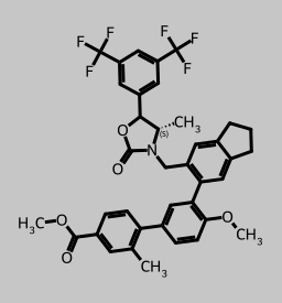 COC(=O)c1ccc(-c2ccc(OC)c(-c3cc4c(cc3CN3C(=O)OC(c5cc(C(F)(F)F)cc(C(F)(F)F)c5)[C@@H]3C)CCC4)c2)c(C)c1